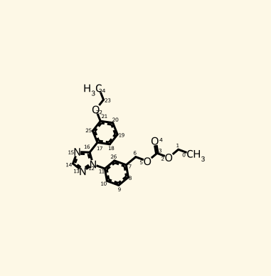 CCOC(=O)OCc1cccc(-n2ncnc2-c2cccc(OCC)c2)c1